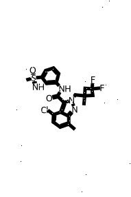 Cc1ccc(Cl)c2c(C(=O)Nc3cccc(S(C)(=N)=O)c3)n(CC3(C)CC(F)(F)C3)nc12